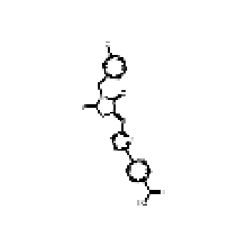 O=C(O)c1ccc(-c2ccc(/C=C3\SC(=S)N(Cc4cccc(Cl)c4)C3=O)o2)cc1